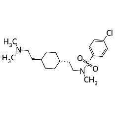 CN(C)CC[C@H]1CC[C@H](CCN(C)S(=O)(=O)c2ccc(Cl)cc2)CC1